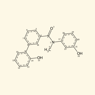 CN(C(=O)c1cccc(-c2ccccc2O)c1)c1cccc(O)c1